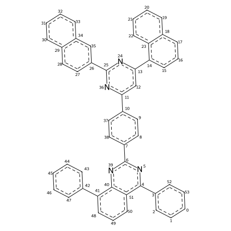 c1ccc(-c2nc(-c3ccc(-c4cc(-c5cccc6ccccc56)nc(-c5ccc6ccccc6c5)n4)cc3)nc3c(-c4ccccc4)cccc23)cc1